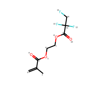 C=C(C)C(=O)OCCOC(=O)C(F)(F)CF